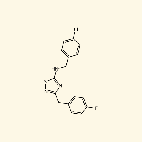 Fc1ccc(Cc2nsc(NCc3ccc(Cl)cc3)n2)cc1